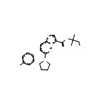 CC(C)(CO)NC(=O)c1cnc2ccc(N3CCC[C@@H]3c3cccc(F)c3)nn12